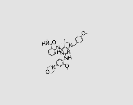 CNC(=O)c1ccccc1Nc1nc(Nc2ccc(N3CCOCC3)cc2OC)nc2c1C(C)(C)CN2Cc1ccc(OC)cc1